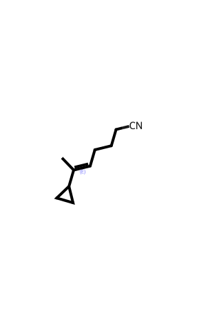 C/C(=C\CCCC#N)C1CC1